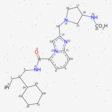 CC(C)CC(CNC(=O)c1cccc2nc(CN3CCC(NC(=O)O)C3)cn12)C1CCCCC1